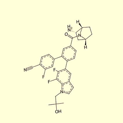 CC(C)(O)Cn1ccc2cc(-c3ccc(C(=O)N4[C@@H]5CC[C@H]4[C@@H](N)C5)cc3-c3ccc(C#N)c(F)c3)c(F)c(F)c21